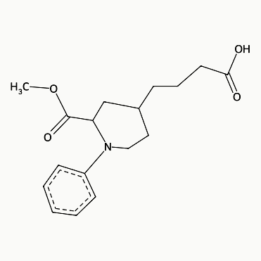 COC(=O)C1CC(CCCC(=O)O)CCN1c1ccccc1